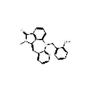 COc1ccccc1CN1c2cccc3c2C(=Cc2cccnc21)N(C)C3=O